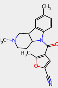 Cc1ccc2c(c1)C1CN(C)CCC1N2C(=O)c1cc(C#N)oc1C